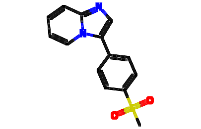 CS(=O)(=O)c1ccc(-c2cnc3ccccn23)cc1